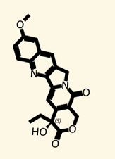 CC[C@@]1(O)C(=O)OCc2c1cc1n(c2=O)Cc2cc3cc(OC)ccc3nc2-1